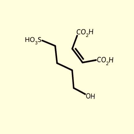 O=C(O)/C=C\C(=O)O.O=S(=O)(O)CCCCO